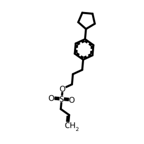 C=CCS(=O)(=O)OCCCc1ccc(C2CCCC2)cc1